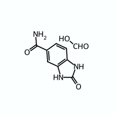 NC(=O)c1ccc2[nH]c(=O)[nH]c2c1.O=CO